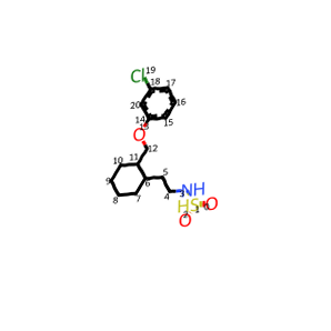 O=[SH](=O)NCCC1CCCCC1COc1cccc(Cl)c1